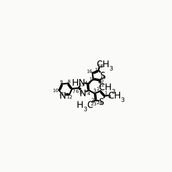 Cc1cc(-c2nc(-c3cccnc3)[nH]c2-c2cc(C)sc2C)c(C)s1